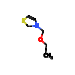 CCOCN1C=CSC1